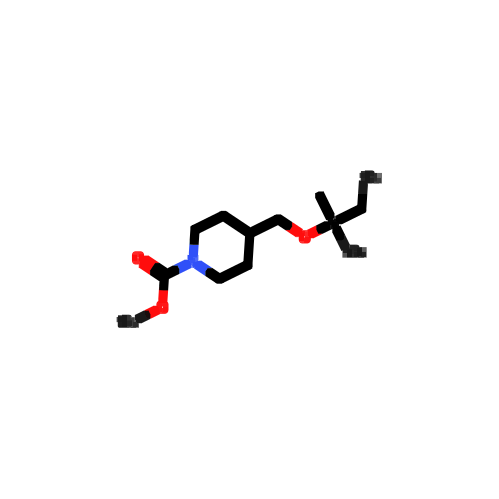 CCCC[Si](C)(CC(C)(C)C)OCC1CCN(C(=O)OC(C)(C)C)CC1